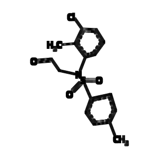 Cc1ccc(S(=O)(=O)N(CC=O)c2cccc(Cl)c2C)cc1